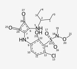 CCC(CC)Nc1c(Nc2ccc(Cl)c(S(=O)(=O)N(C)OC)c2O)c(=O)c1=O